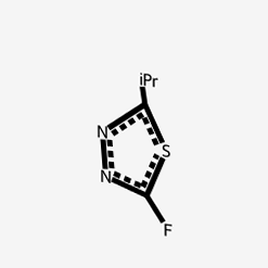 CC(C)c1nnc(F)s1